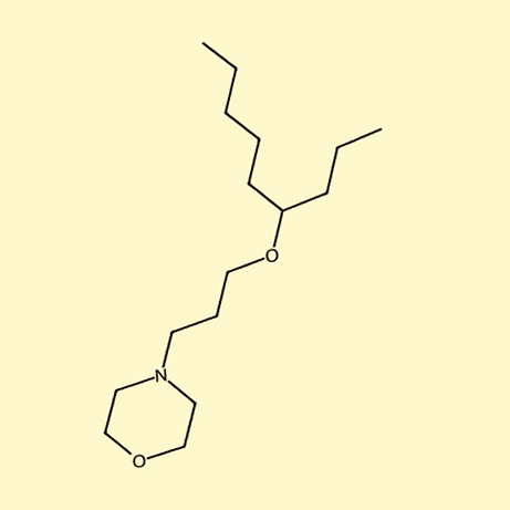 CCCCCC(CCC)OCCCN1CCOCC1